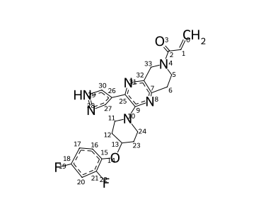 C=CC(=O)N1CCc2nc(N3CCC(Oc4ccc(F)cc4F)CC3)c(-c3cn[nH]c3)nc2C1